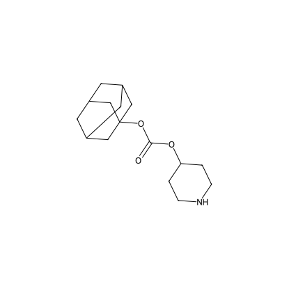 O=C(OC1CCNCC1)OC12CC3CC(CC(C3)C1)C2